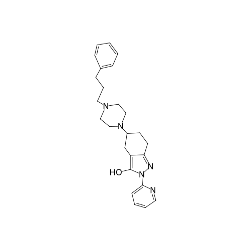 Oc1c2c(nn1-c1ccccn1)CCC(N1CCN(CCCc3ccccc3)CC1)C2